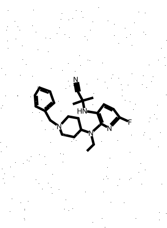 CCN(c1nc(F)ccc1NC(C)(C)C#N)C1CCN(Cc2ccccc2)CC1